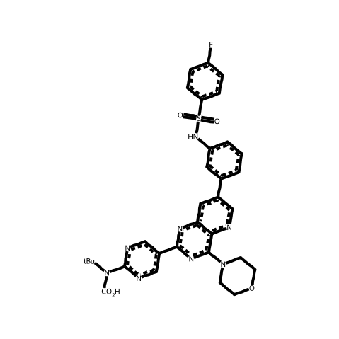 CC(C)(C)N(C(=O)O)c1ncc(-c2nc(N3CCOCC3)c3ncc(-c4cccc(NS(=O)(=O)c5ccc(F)cc5)c4)cc3n2)cn1